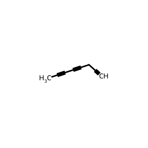 C#CCC#CC#CC